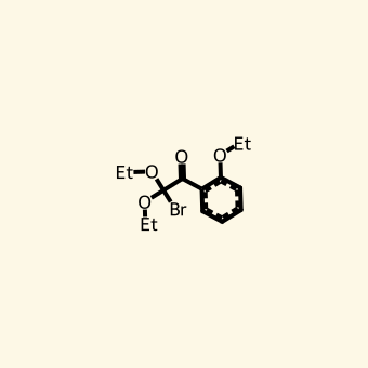 CCOc1ccccc1C(=O)C(Br)(OCC)OCC